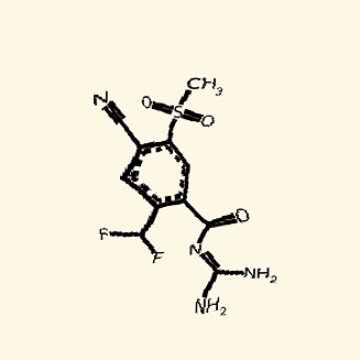 CS(=O)(=O)c1cc(C(=O)N=C(N)N)c(C(F)F)cc1C#N